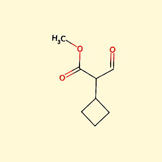 COC(=O)C(C=O)C1CCC1